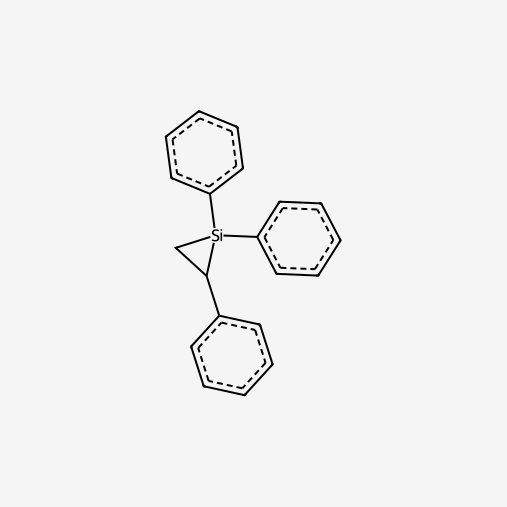 c1ccc(C2C[Si]2(c2ccccc2)c2ccccc2)cc1